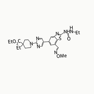 CCNC(=O)Nc1nc2cc(-c3cnc(N4CCC(CC)(C(=O)OCC)CC4)nc3)cc(/C=N/OC)c2s1